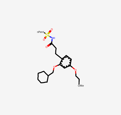 CCCCCS(=O)(=O)NC(=O)CCc1ccc(OCCOC)cc1OCC1CCCCC1